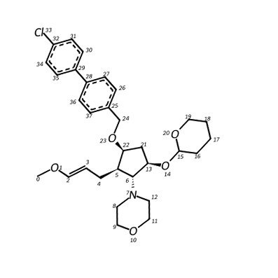 COC=CC[C@@H]1[C@@H](N2CCOCC2)[C@H](OC2CCCCO2)C[C@@H]1OCc1ccc(-c2ccc(Cl)cc2)cc1